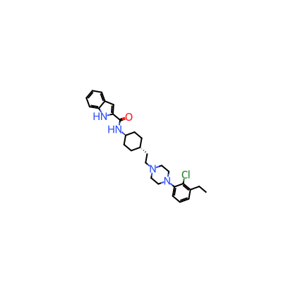 CCc1cccc(N2CCN(CC[C@H]3CC[C@H](NC(=O)c4cc5ccccc5[nH]4)CC3)CC2)c1Cl